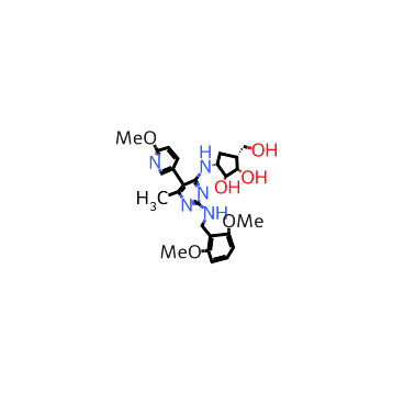 COc1ccc(-c2c(C)nc(NCc3c(OC)cccc3OC)nc2N[C@@H]2C[C@H](CO)[C@@H](O)[C@H]2O)cn1